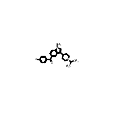 CC(C)N1CCC(c2cn(N)c3ccc(C(=O)c4ccc(F)cc4)cc23)CC1